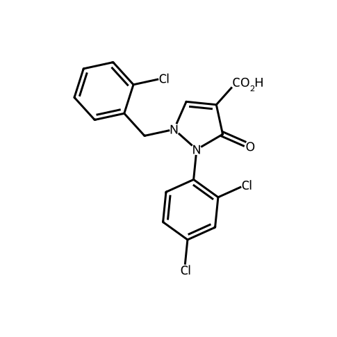 O=C(O)c1cn(Cc2ccccc2Cl)n(-c2ccc(Cl)cc2Cl)c1=O